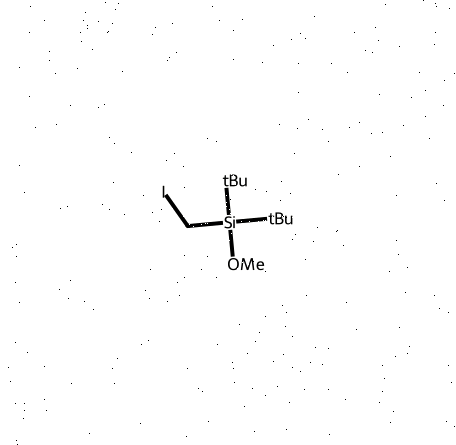 CO[Si](CI)(C(C)(C)C)C(C)(C)C